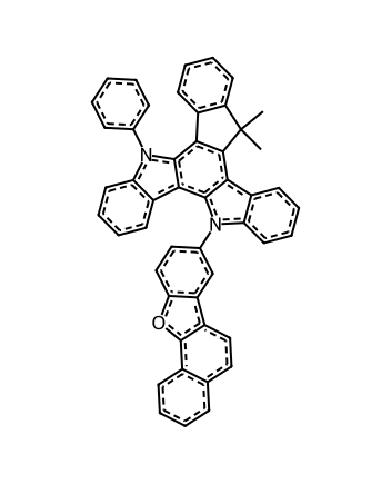 CC1(C)c2ccccc2-c2c1c1c3ccccc3n(-c3ccc4oc5c6ccccc6ccc5c4c3)c1c1c3ccccc3n(-c3ccccc3)c21